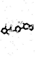 Cc1cc2nccn2cc1-c1ccc(NC(=O)c2c(F)cccc2F)nc1